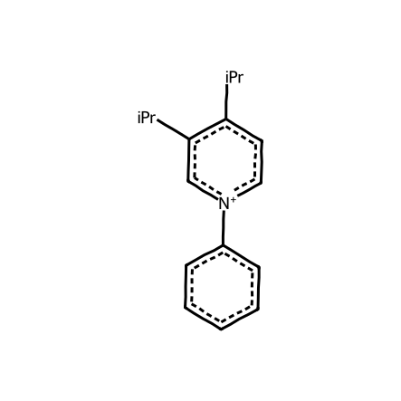 CC(C)c1cc[n+](-c2ccccc2)cc1C(C)C